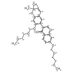 COCCOCOc1ccc2c(=O)c(-c3cc4c(cc3OCOCCOC)OC(C)(C)C=C4)coc2c1